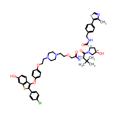 Cc1ncsc1-c1ccc(CNC(=O)[C@@H]2C[C@@H](O)CN2C(=O)[C@@H](NC(=O)COCCN2CCN(CCOc3ccc(Oc4c(-c5ccc(Br)cc5)sc5cc(O)ccc45)cc3)CC2)C(C)(C)C)cc1